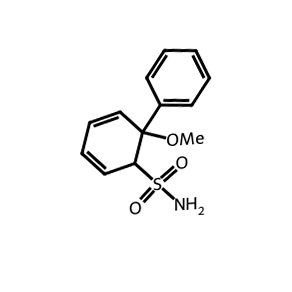 COC1(c2ccccc2)C=CC=CC1S(N)(=O)=O